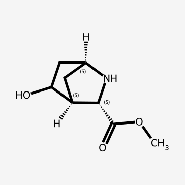 COC(=O)[C@H]1N[C@@H]2CC(O)[C@H]1C2